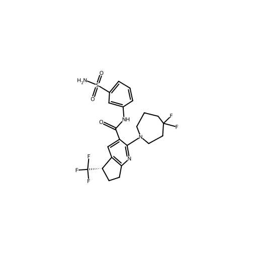 NS(=O)(=O)c1cccc(NC(=O)c2cc3c(nc2N2CCCC(F)(F)CC2)CC[C@@H]3C(F)(F)F)c1